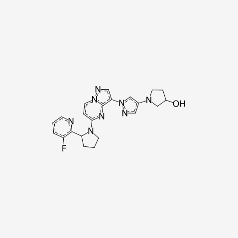 OC1CCN(c2cnn(-c3cnn4ccc(N5CCCC5c5ncccc5F)nc34)c2)C1